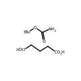 CC(C)(C)OC(N)=O.CCCCCCCCCCCC(=O)O